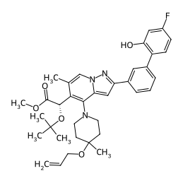 C=CCOC1(C)CCN(c2c([C@H](OC(C)(C)C)C(=O)OC)c(C)cn3nc(-c4cccc(-c5ccc(F)cc5O)c4)cc23)CC1